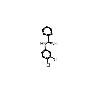 N=C(Nc1ccc(Cl)c(Cl)c1)c1ccccc1